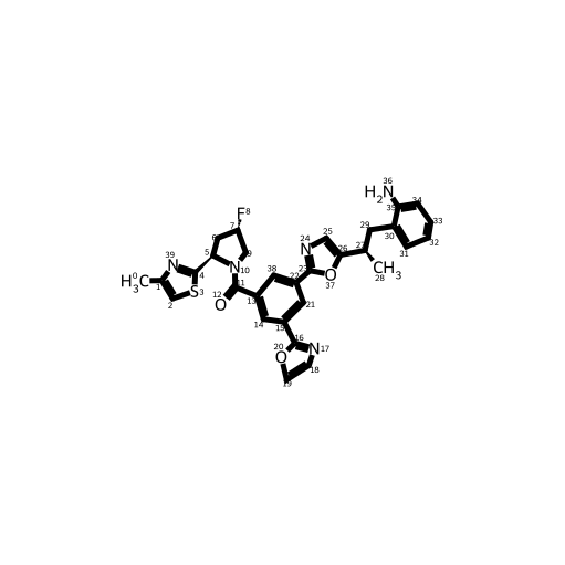 Cc1csc([C@H]2C[C@H](F)CN2C(=O)c2cc(-c3ncco3)cc(-c3ncc([C@H](C)Cc4ccccc4N)o3)c2)n1